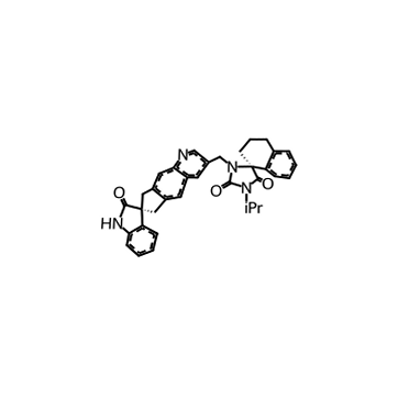 CC(C)N1C(=O)N(Cc2cnc3cc4c(cc3c2)C[C@@]2(C4)C(=O)Nc3ccccc32)[C@]2(CCCc3ccccc32)C1=O